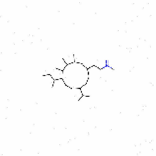 CCC(C)C1CCC(C(C)C)CCC(CCNC)CC(C)C(C)C1C